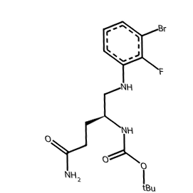 CC(C)(C)OC(=O)N[C@@H](CCC(N)=O)CNc1cccc(Br)c1F